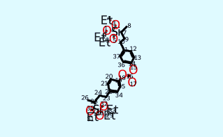 CCO[Si](OCC)(OCC)C(C)CCc1ccc(OC(=O)Oc2ccc(CCC(C)[Si](OCC)(OCC)OCC)cc2)cc1